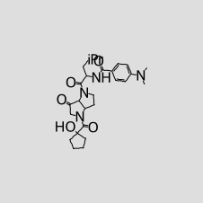 CC(C)CC(NC(=O)c1ccc(N(C)C)cc1)C(=O)N1CCC2C1C(=O)CN2C(=O)C1(O)CCCC1